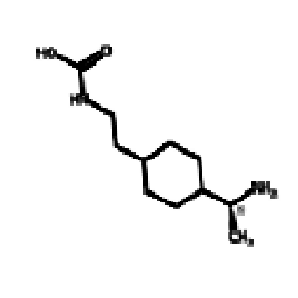 C[C@H](N)C1CCC(CCNC(=O)O)CC1